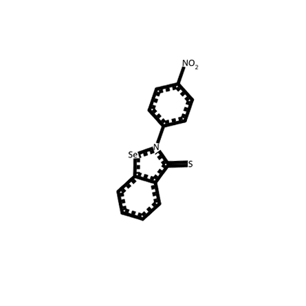 O=[N+]([O-])c1ccc(-n2[se]c3ccccc3c2=S)cc1